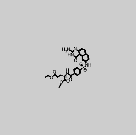 CCOC(=O)CC[C@@H](NC(=O)c1ccc(S(=O)(=O)Nc2ccc3ccc4nc(N)[nH]c(=O)c4c3c2)cc1)C(=O)OCC